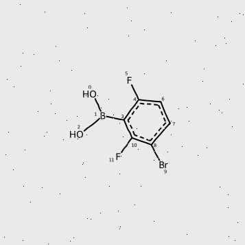 OB(O)c1c(F)ccc(Br)c1F